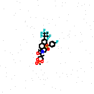 CC1(C(=O)N2CC[C@]3(S(=O)(=O)c4ccc(F)cc4)c4ccc(C(F)(C(F)(F)F)C(F)(F)F)cc4CC[C@H]23)COP(C)(=O)OC1